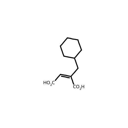 O=C(O)C=C(CC1CCCCC1)C(=O)O